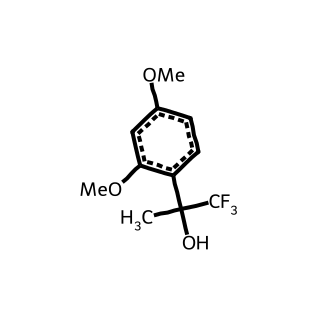 COc1ccc(C(C)(O)C(F)(F)F)c(OC)c1